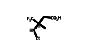 CCN[C@@](C)(CC(=O)O)C(F)(F)F